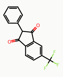 O=C1c2ccc(C(F)(F)F)cc2C(=O)C1c1ccccc1